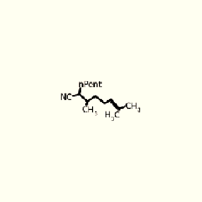 CCCCCC(C#N)C(C)CCC=C(C)C